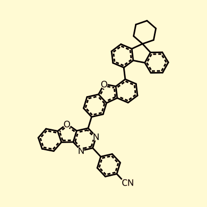 N#Cc1ccc(-c2nc(-c3ccc4oc5c(-c6cccc7c6-c6ccccc6C76CCCCC6)cccc5c4c3)c3oc4ccccc4c3n2)cc1